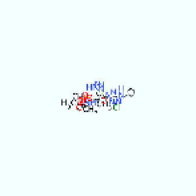 CC(C)OC(=O)[C@H](C)NP(=O)(OC[C@H]1C2(C)O[C@@H](n3cnc4c(NCc5ccccc5)nc(Cl)nc43)C(F)C12Cc1nnn[nH]1)Oc1ccccc1